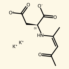 CC(=O)C=C(C)N[C@@H](CC(=O)[O-])C(=O)[O-].[K+].[K+]